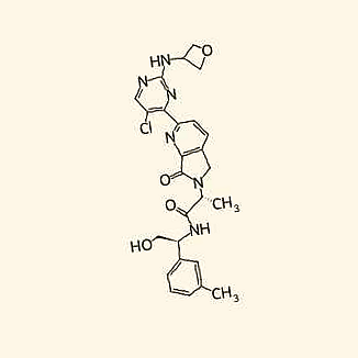 Cc1cccc([C@@H](CO)NC(=O)[C@@H](C)N2Cc3ccc(-c4nc(NC5COC5)ncc4Cl)nc3C2=O)c1